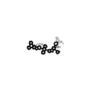 CC1(C)C=c2[nH]c3c(-c4ccccc4)c4c(cc3c2CC1)-c1cc(-c2c3ccccc3c(C3=CC(C)(C)C5=c6cc7c8ccccc8c8ccccc8c7cc6=CC5=C3)c3ccccc23)ccc1C=4